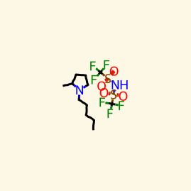 CCCCCN1CCCC1C.O=S(=O)(NS(=O)(=O)C(F)(F)F)C(F)(F)F